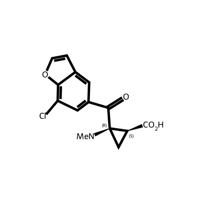 CN[C@]1(C(=O)c2cc(Cl)c3occc3c2)C[C@@H]1C(=O)O